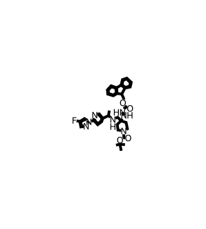 CC(NCC1(NNC(=O)OCC2c3ccccc3-c3ccccc32)CCN(C(=O)OC(C)(C)C)CC1)c1ccc(-n2cc(F)cn2)nc1